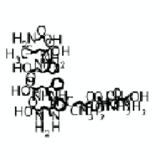 CC(C)C[C@H](N)C(=O)O.CSCC[C@H](N)C(=O)O.C[C@H](N)C(=O)O.NCC(=O)O.N[C@@H](CO)C(=O)O.N[C@@H](Cc1c[nH]c2ccccc12)C(=O)O.N[C@@H](Cc1c[nH]c2ccccc12)C(=O)O.N[C@@H](Cc1ccccc1)C(=O)O